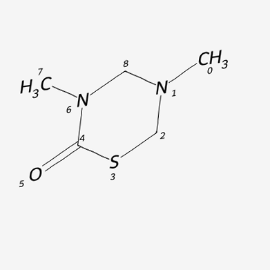 CN1CSC(=O)N(C)C1